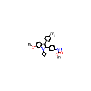 CCOc1ccc2c(-c3ccc(C(F)(F)F)cc3)c(-c3ccc(NC(=O)OC(C)C)cc3)n(C3CCC3)c2c1